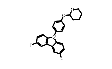 Fc1ccc2c(c1)c1cc(F)ccc1[s+]2-c1ccc(OC2CCCCO2)cc1